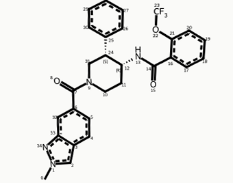 Cn1cc2ccc(C(=O)N3CC[C@@H](NC(=O)c4ccccc4OC(F)(F)F)[C@@H](c4ccccc4)C3)cc2n1